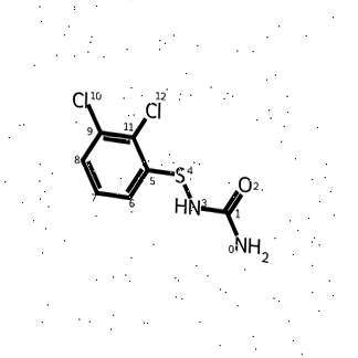 NC(=O)NSc1cccc(Cl)c1Cl